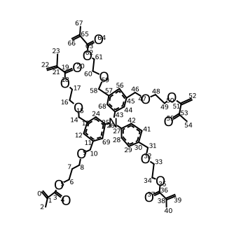 C=C(C)C(=O)OCCCOCc1cc(COCCOC(=O)C(=C)C)cc(N(c2ccc(COCCOC(=O)C(=C)C)cc2)c2cc(COCCOC(=C)C(C)=O)cc(COCCOC(=O)C(=C)C)c2)c1